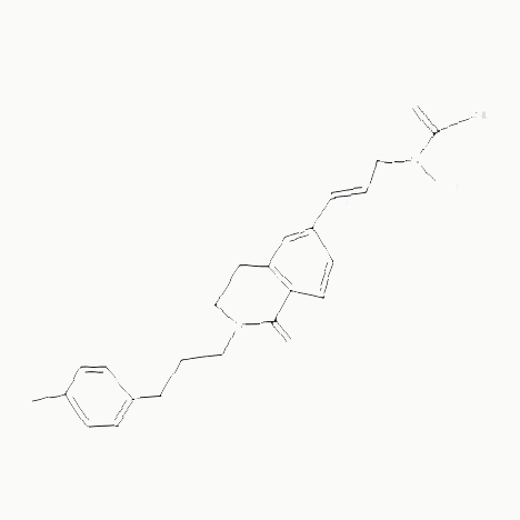 NC(=O)N(O)C/C=C/c1ccc2c(c1)CCN(CCCc1ccc(F)cc1)C2=O